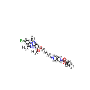 COc1cc2c(N[C@H](C)c3cccc(Br)c3)nc(C)nc2cc1OCCCCCCCN1CCC2(CC1)CCN(C(=O)OC(C)(C)C)CC2